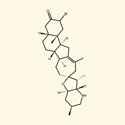 CC1=C2C[C@H]3[C@@H](CC[C@@H]4CC(=O)C(Br)C[C@@]43C)[C@@H]2CC[C@@]2(C1)O[C@@H]1C[C@H](C)CN[C@H]1[C@H]2C